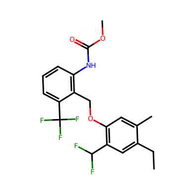 CCc1cc(C(F)F)c(OCc2c(NC(=O)OC)cccc2C(F)(F)F)cc1C